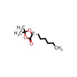 CCCCCC[C@H]1OC(C)(C)OC1=O